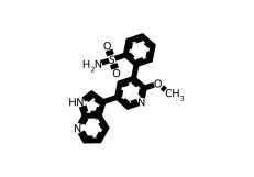 COc1ncc(-c2c[nH]c3ncccc23)cc1-c1ccccc1S(N)(=O)=O